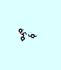 COC(=O)c1ccc(C(=O)C[C@@H]2N[C@@]3(C(=O)Nc4cc(Cl)ccc43)[C@@H](c3cccc(Cl)c3F)[C@@H]2[N+](=O)[O-])c(N)c1